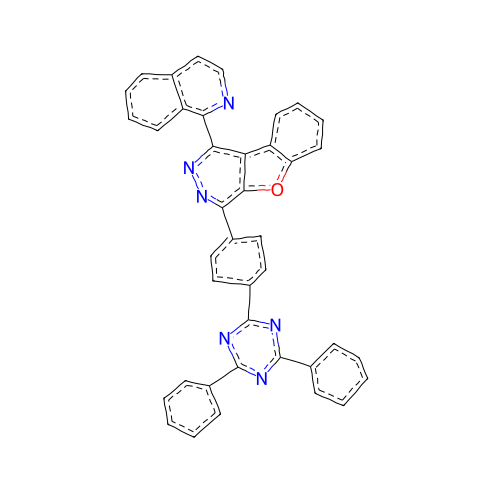 c1ccc(-c2nc(-c3ccccc3)nc(-c3ccc(-c4nnc(-c5nccc6ccccc56)c5c4oc4ccccc45)cc3)n2)cc1